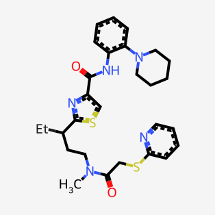 CCC(CCN(C)C(=O)CSc1ccccn1)c1nc(C(=O)Nc2ccccc2N2CCCCC2)cs1